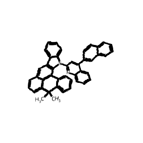 CC1(C)c2ccccc2-c2c3c1cccc3cc1c3ccccc3n(-c3cc(-c4ccc5ccccc5c4)c4ccccc4n3)c21